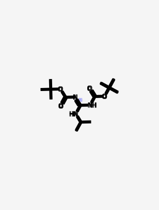 CC(C)N/C(=N\C(=O)OC(C)(C)C)NC(=O)OC(C)(C)C